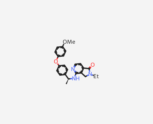 CCN1Cc2c(ccnc2N[C@@H](C)c2ccc(Oc3ccc(OC)cc3)cc2)C1=O